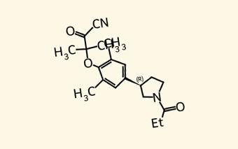 CCC(=O)N1CC[C@H](c2cc(C)c(OC(C)(C)C(=O)C#N)c(C)c2)C1